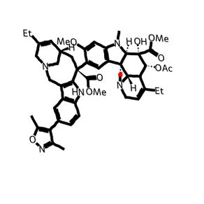 CCC1=C[C@H]2CN(C1)Cc1c([nH]c3ccc(-c4c(C)noc4C)cc13)[C@@](C(=O)OC)(c1cc3c(cc1OC)N(C)[C@H]1[C@@](O)(C(=O)OC)[C@H](OC(C)=O)C4C(CC)=CCN5CC[C@]31[C@H]45)C2